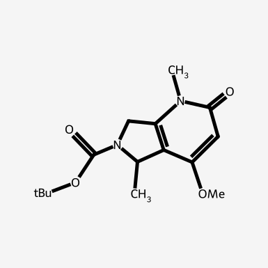 COc1cc(=O)n(C)c2c1C(C)N(C(=O)OC(C)(C)C)C2